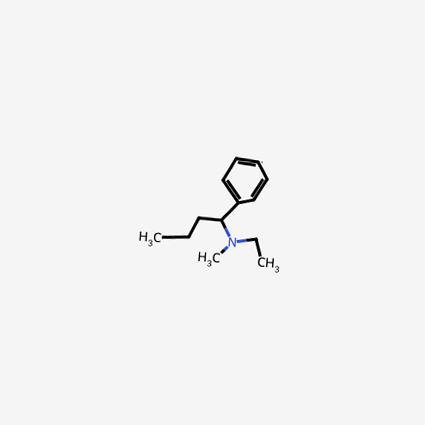 CCCC(c1cc[c]cc1)N(C)CC